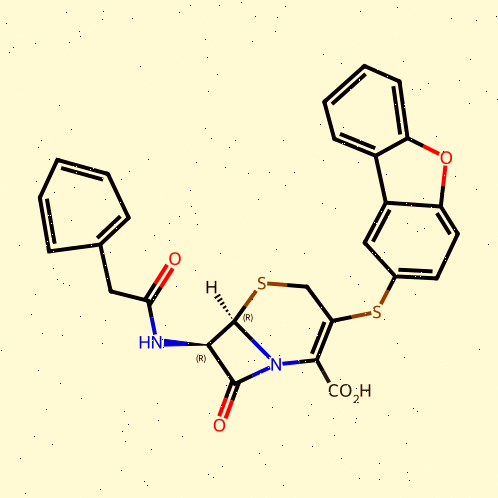 O=C(Cc1ccccc1)N[C@@H]1C(=O)N2C(C(=O)O)=C(Sc3ccc4oc5ccccc5c4c3)CS[C@H]12